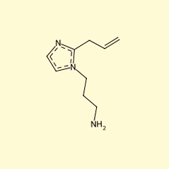 C=CCc1nccn1CCCN